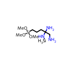 CO[Si](CCCC(N)(CN)N[SiH3])(OC)OC